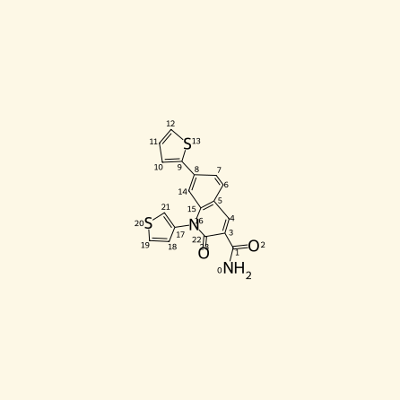 NC(=O)c1cc2ccc(-c3cccs3)cc2n(-c2ccsc2)c1=O